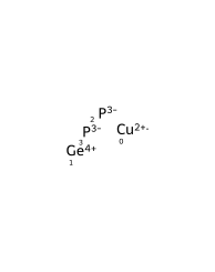 [Cu+2].[Ge+4].[P-3].[P-3]